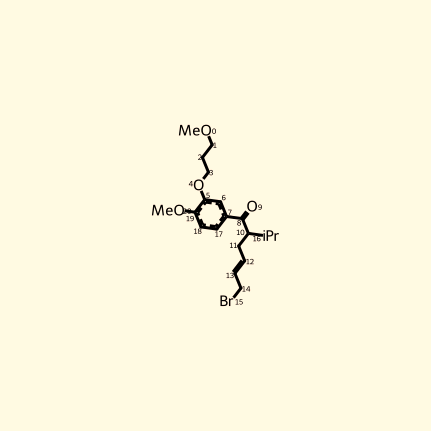 COCCCOc1cc(C(=O)C(C/C=C/CBr)C(C)C)ccc1OC